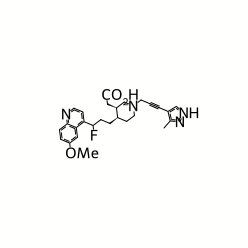 COc1ccc2nccc(C(F)CC[C@@H]3CCN(CC#Cc4c[nH]nc4C)C[C@@H]3CC(=O)O)c2c1